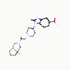 NC(=O)c1ccc2c(c1)[nH]c(=O)n2C1CCN(CC(=O)N2C[C@H]3CCC[C@H]3C2)CC1